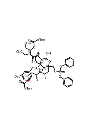 CCCCCCCCCCC[C@H](CC(=O)NC(C)C[C@]1(COP(=O)(Oc2ccccc2)Oc2ccccc2)O[C@@H](O)[C@H](NC(=O)OCC(Cl)(Cl)Cl)[C@@](OCc2ccccc2)(OC(=O)C[C@@H](CCCCCCCCCCC)OC(=O)CCCCCCCCC)[C@@H]1O)OC(=O)CCCCCCCCC